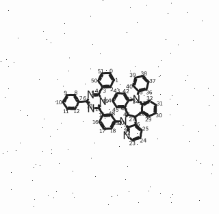 c1ccc(-c2nc(-c3ccccc3)nc(-c3cccc(N4c5ncccc5C5c6ccccc6N(c6ccccc6)c6ccccc6C54)c3)n2)cc1